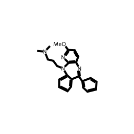 COc1ccc2c(n1)N(CCCN(C)C)c1ccccc1C(c1ccccc1)=N2